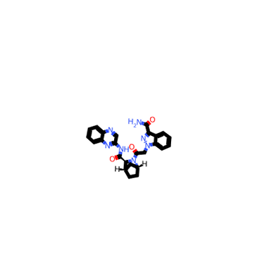 NC(=O)c1nn(CC(=O)N2[C@@H]3CC[C@@H](C3)[C@H]2C(=O)Nc2cnc3ccccc3n2)c2ccccc12